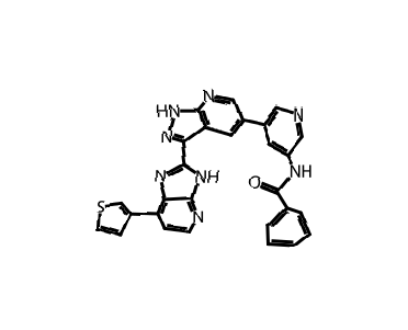 O=C(Nc1cncc(-c2cnc3[nH]nc(-c4nc5c(-c6ccsc6)ccnc5[nH]4)c3c2)c1)c1ccccc1